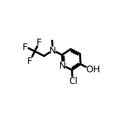 CN(CC(F)(F)F)c1ccc(O)c(Cl)n1